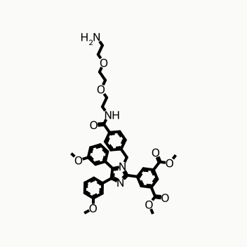 COC(=O)c1cc(C(=O)OC)cc(-c2nc(-c3cccc(OC)c3)c(-c3cccc(OC)c3)n2Cc2ccc(C(=O)NCCOCCOCCN)cc2)c1